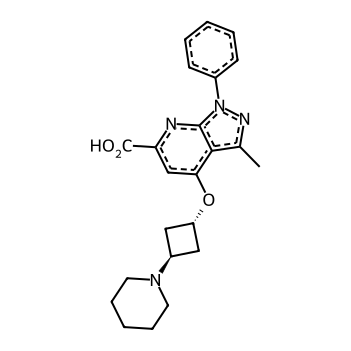 Cc1nn(-c2ccccc2)c2nc(C(=O)O)cc(O[C@H]3C[C@H](N4CCCCC4)C3)c12